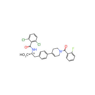 O=C(N[C@@H](Cc1ccc(C2=CCN(C(=O)c3ccccc3F)CC2)cc1)C(=O)O)c1c(Cl)cccc1Cl